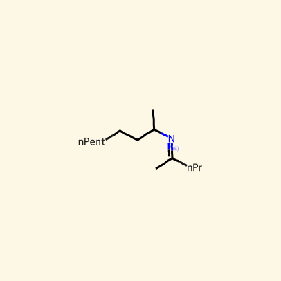 CCCCCCCC(C)/N=C(\C)CCC